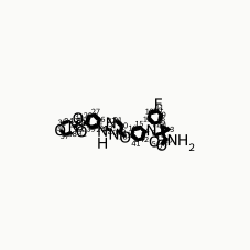 NC(=O)C1(C(=O)N(c2ccc(F)cc2)c2ccc(Oc3ccnc(Nc4cccc(S(=O)(=O)N5CCOCC5)c4)n3)cc2)CC1